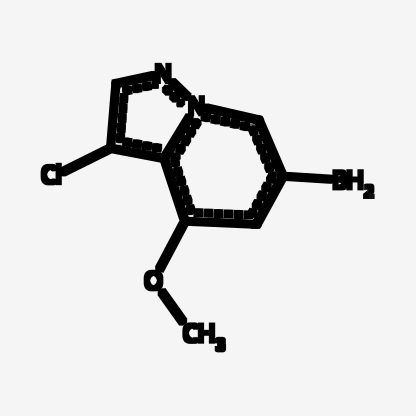 Bc1cc(OC)c2c(Cl)cnn2c1